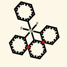 F[Te](F)(c1ccccc1)(c1ccccc1)(c1ccccc1)c1ccccc1